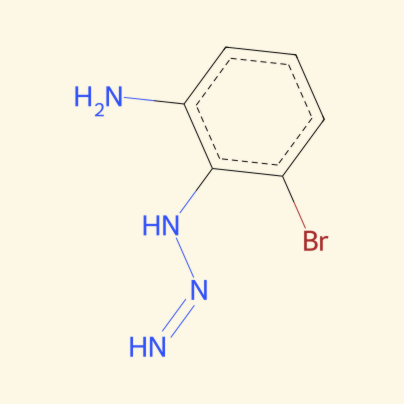 N=NNc1c(N)cccc1Br